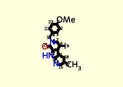 COc1ccc(Cn2cc(I)c3c([nH]c4ncc(C)cc43)c2=O)cc1